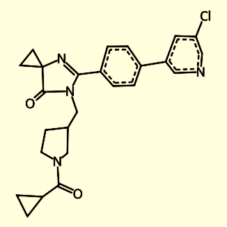 O=C(C1CC1)N1CCC(CN2C(=O)C3(CC3)N=C2c2ccc(-c3cncc(Cl)c3)cc2)C1